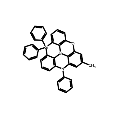 Cc1cc2c3c(c1)N(c1ccccc1)c1cccc4c1B3c1c(cccc1[Si]4(c1ccccc1)c1ccccc1)O2